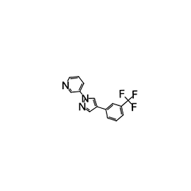 FC(F)(F)c1cccc(-c2cnn(-c3cccnc3)c2)c1